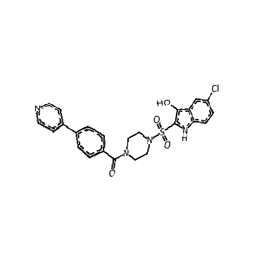 O=C(c1ccc(-c2ccncc2)cc1)N1CCN(S(=O)(=O)c2[nH]c3ccc(Cl)cc3c2O)CC1